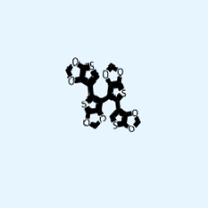 c1sc2c(c1-c1sc3c(c1-c1c(-c4csc5c4OCO5)sc4c1OCO4)OCO3)OCO2